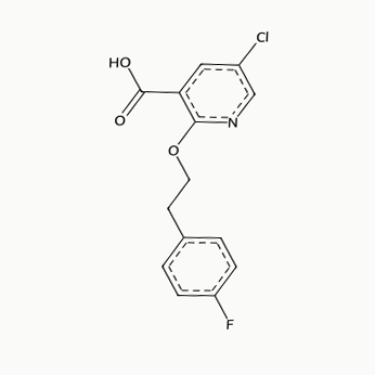 O=C(O)c1cc(Cl)cnc1OCCc1ccc(F)cc1